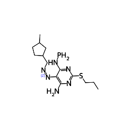 CCCSc1nc(N)c(/N=N\CC2CCC(C)C2)c(NP)n1